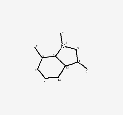 CC1CN(C)C2C(C)CCCC12